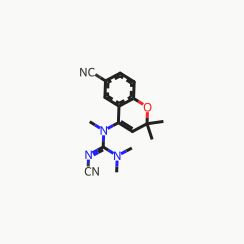 CN(C)C(=NC#N)N(C)C1=CC(C)(C)Oc2ccc(C#N)cc21